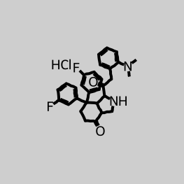 CN(C)c1ccccc1CC(=O)C1NCC2C(=O)CCC(c3cccc(F)c3)(c3cccc(F)c3)C21.Cl